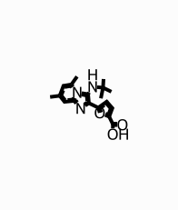 Cc1cc(C)n2c(NC(C)(C)C)c(-c3ccc(C(=O)O)o3)nc2c1